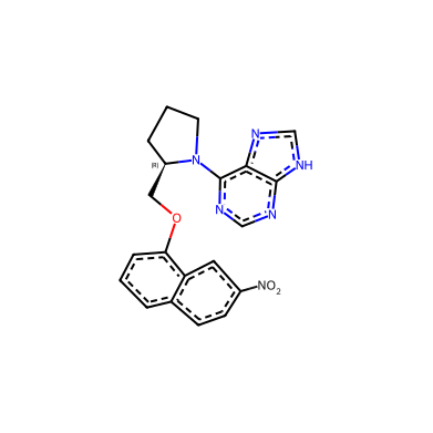 O=[N+]([O-])c1ccc2cccc(OC[C@H]3CCCN3c3ncnc4[nH]cnc34)c2c1